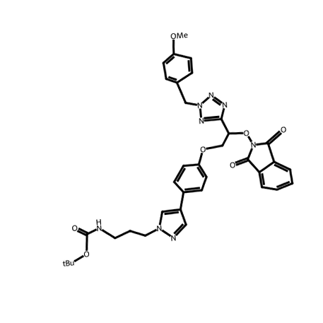 COc1ccc(Cn2nnc(C(COc3ccc(-c4cnn(CCCNC(=O)OC(C)(C)C)c4)cc3)ON3C(=O)c4ccccc4C3=O)n2)cc1